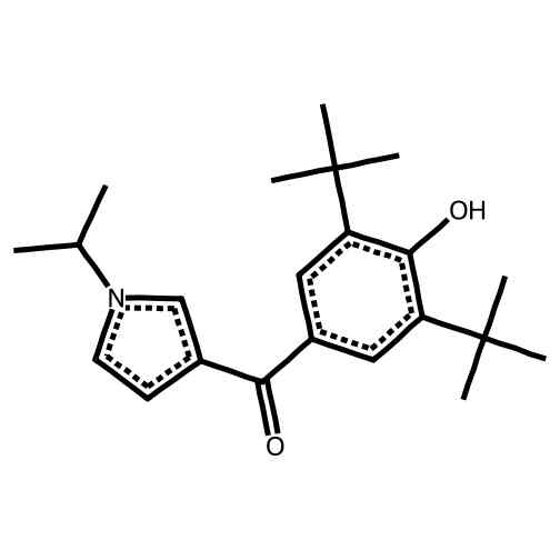 CC(C)n1ccc(C(=O)c2cc(C(C)(C)C)c(O)c(C(C)(C)C)c2)c1